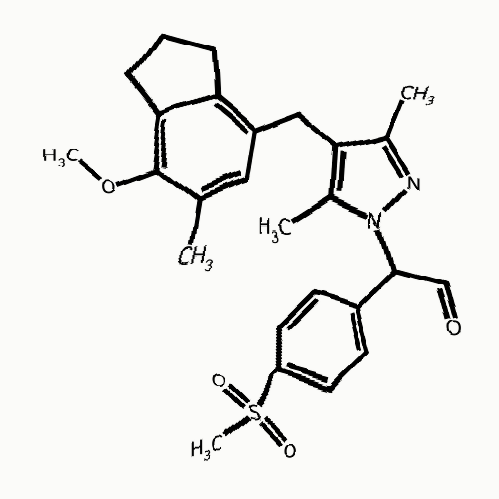 COc1c(C)cc(Cc2c(C)nn(C(C=O)c3ccc(S(C)(=O)=O)cc3)c2C)c2c1CCC2